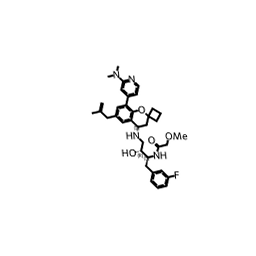 C=C(C)Cc1cc(-c2ccnc(N(C)C)c2)c2c(c1)[C@@H](NC[C@@H](O)[C@H](Cc1cccc(F)c1)NC(=O)COC)CC1(CCC1)O2